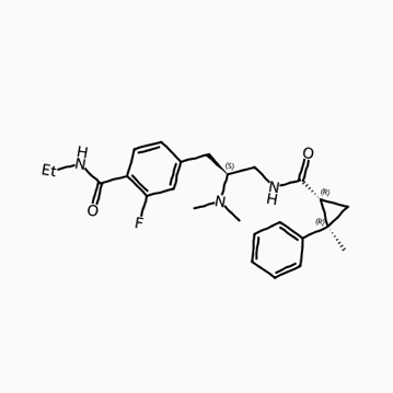 CCNC(=O)c1ccc(C[C@@H](CNC(=O)[C@@H]2C[C@@]2(C)c2ccccc2)N(C)C)cc1F